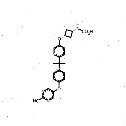 CC(C)(c1ccc(Oc2cnc(C#N)nc2)cc1)c1ccc(O[C@H]2C[C@@H](NC(=O)O)C2)cn1